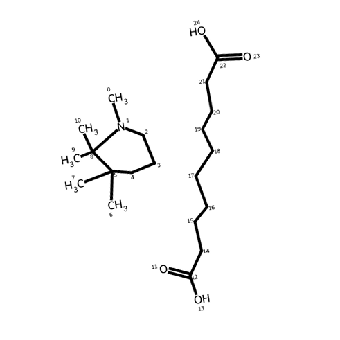 CN1CCCC(C)(C)C1(C)C.O=C(O)CCCCCCCCC(=O)O